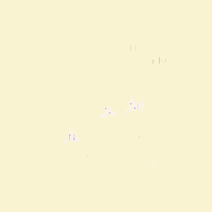 CCCCc1cc(Nc2ncc(C(=O)N3CCCCC3)cc2OCI)ccc1C=O